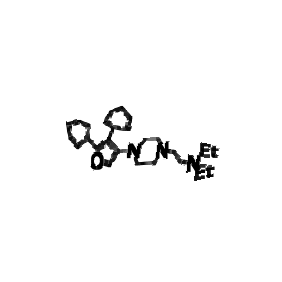 CCN(CC)CCN1CCN(c2coc(-c3ccccc3)c2-c2ccccc2)CC1